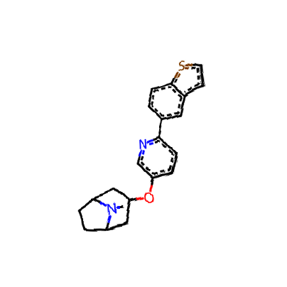 CN1C2CCC1CC(Oc1ccc(-c3ccc4sccc4c3)nc1)C2